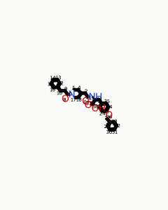 O=C(CC1CCN(C(=O)CCc2ccccc2)CC1)NC(Cc1ccc(OCc2ccccc2)cc1)C(=O)O